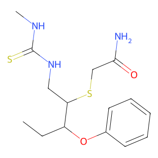 CCC(Oc1ccccc1)C(CNC(=S)NC)SCC(N)=O